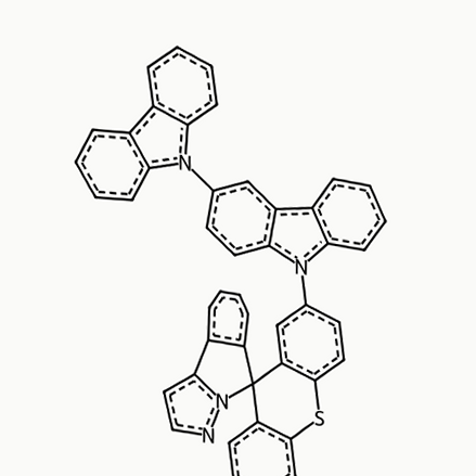 c1ccc2c(c1)Sc1ccc(-n3c4ccccc4c4cc(-n5c6ccccc6c6ccccc65)ccc43)cc1C21c2ccccc2-c2ccnn21